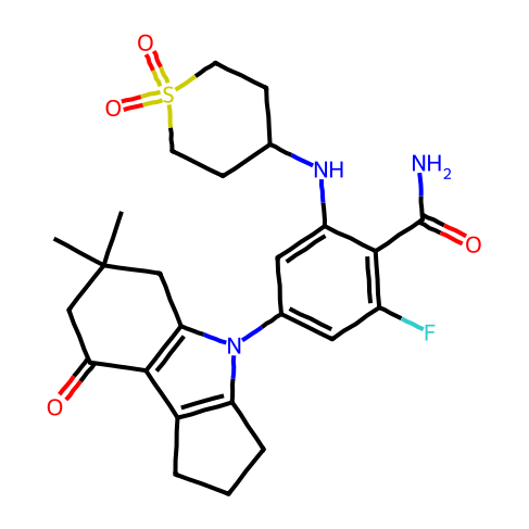 CC1(C)CC(=O)c2c3c(n(-c4cc(F)c(C(N)=O)c(NC5CCS(=O)(=O)CC5)c4)c2C1)CCC3